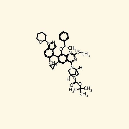 CSc1nc(N2C[C@@H]3C[C@H]2CN3C(=O)OC(C)(C)C)c2cc(C3CC3)c(-c3c(C)ccc4c3cnn4C3CCCCO3)c(O[C@@H](C)c3ccccc3)c2n1